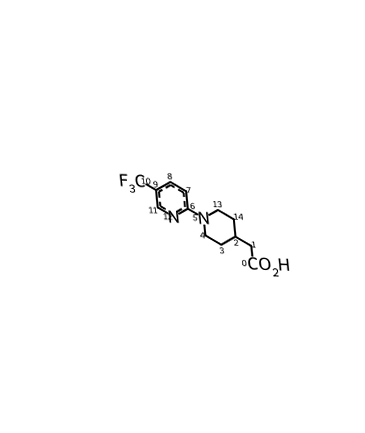 O=C(O)CC1CCN(c2ccc(C(F)(F)F)cn2)CC1